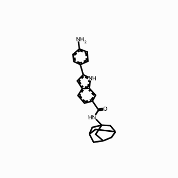 Nc1ccc(-c2cc3ccc(C(=O)NC45CC6CC(CC(C6)C4)C5)cc3[nH]2)cc1